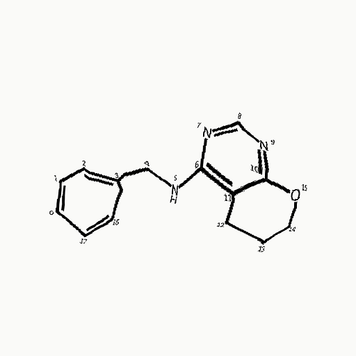 c1ccc(CNc2ncnc3c2CCCO3)cc1